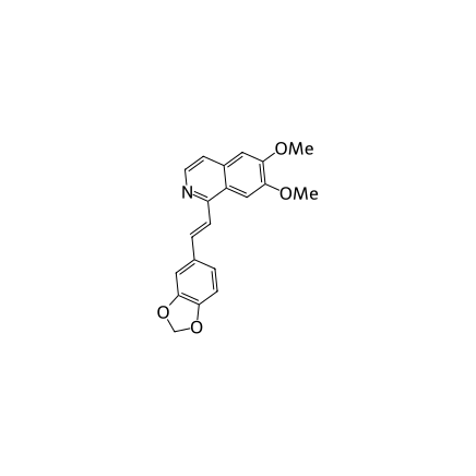 COc1cc2ccnc(/C=C/c3ccc4c(c3)OCO4)c2cc1OC